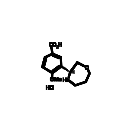 COc1ccc(C(=O)O)cc1[C@@H]1COCCCN1.Cl